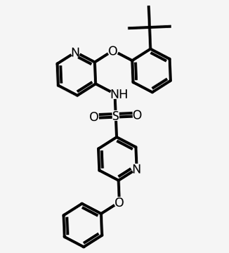 CC(C)(C)c1ccccc1Oc1ncccc1NS(=O)(=O)c1ccc(Oc2ccccc2)nc1